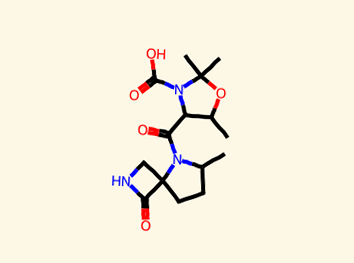 CC1OC(C)(C)N(C(=O)O)C1C(=O)N1C(C)CCC12CNC2=O